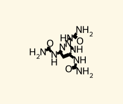 NC(=O)NC1=CC(NC(N)=O)=NN(NC(N)=O)N1